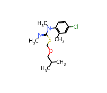 CN=C(SCOCC(C)C)N(C)c1ccc(Cl)cc1C